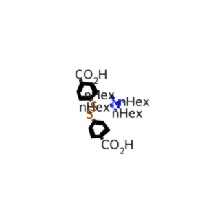 CCCCCC[N+](CCCCCC)(CCCCCC)CCCCCC.O=C(O)c1ccc(SSc2ccc(C(=O)O)cc2)cc1